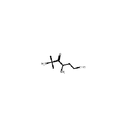 CC(C)(N)C(=O)C(N)CCC=O